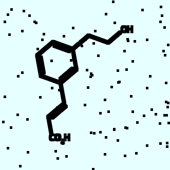 O=C(O)/C=C/c1cccc(CCO)c1